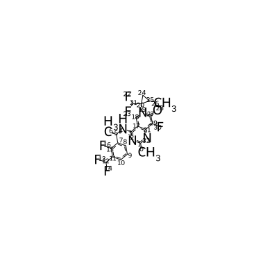 Cc1nc(N[C@H](C)c2cccc(C(F)F)c2F)c2cn(C3(C(F)F)CC3C)c(=O)c(F)c2n1